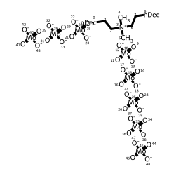 CCCCCCCCCCCC[N+](C)(C)CCCCCCCCCCCC.[O]=[Mo](=[O])([O-])[O-].[O]=[Mo](=[O])([O-])[O-].[O]=[Mo](=[O])([O-])[O-].[O]=[Mo](=[O])([O-])[O-].[O]=[Mo](=[O])([O-])[O-].[O]=[Mo](=[O])([O-])[O-].[O]=[Mo](=[O])([O-])[O-].[O]=[Mo](=[O])([O-])[O-]